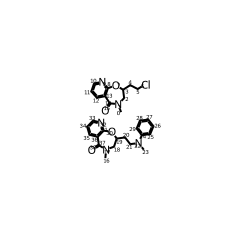 CN1CC(CCCl)Oc2ncccc2C1=O.CN1CC(CCN(C)c2ccccc2)Oc2ncccc2C1=O